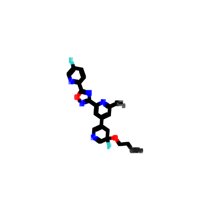 COCCOC1(F)C=NC=C(c2cc(C)nc(-c3noc(-c4ccc(F)cn4)n3)c2)C1